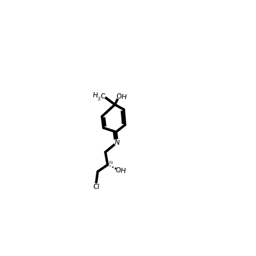 CC1(O)C=CC(=NC[C@H](O)CCl)C=C1